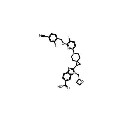 N#Cc1ccc(COc2nc(N3CCC4(CC3)CC4c3nc4ccc(C(=O)O)cc4n3C[C@@H]3CCO3)ccc2F)c(F)c1